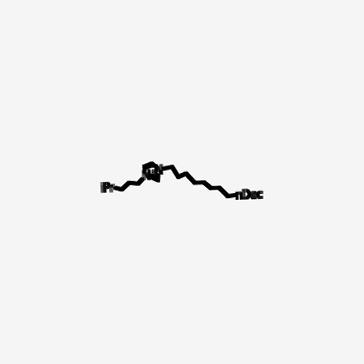 CCCCCCCCCCCCCCCCCCn1cc[n+](CCCC(C)C)c1